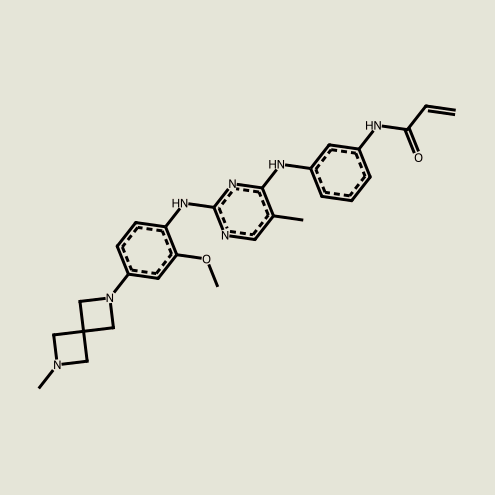 C=CC(=O)Nc1cccc(Nc2nc(Nc3ccc(N4CC5(CN(C)C5)C4)cc3OC)ncc2C)c1